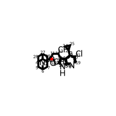 COC12CC3CC(C1)N(C(=O)CC(C)c1c[nH]c4ncc(Cl)c(C5CC5)c14)C(C3)C2